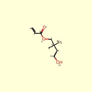 C=CC(=O)OCC(C)(CC)CCO